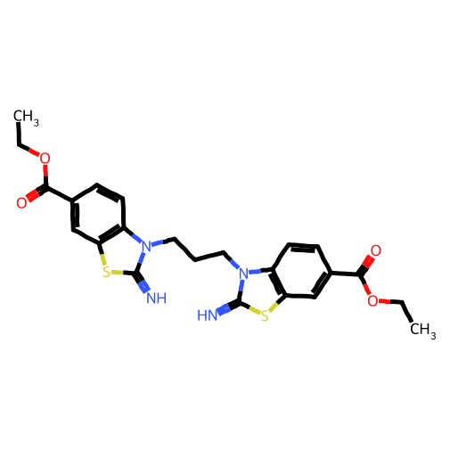 CCOC(=O)c1ccc2c(c1)sc(=N)n2CCCn1c(=N)sc2cc(C(=O)OCC)ccc21